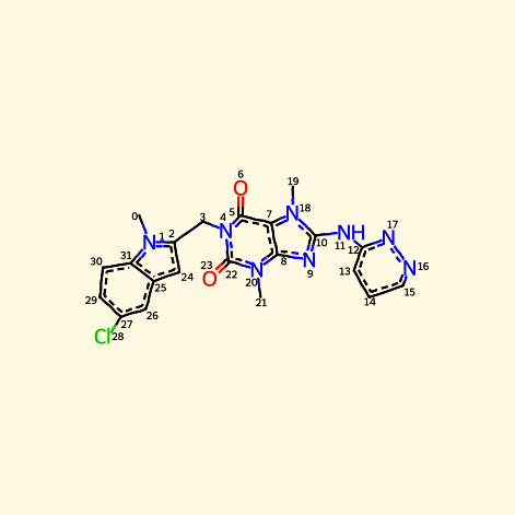 Cn1c(Cn2c(=O)c3c(nc(Nc4cccnn4)n3C)n(C)c2=O)cc2cc(Cl)ccc21